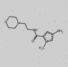 Cn1cc(N)cc1C(=O)NCCN1CCOCC1